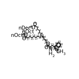 CCCCCCCCCCCOC(=O)CCCCCN(CCCCCCCC(=O)OC(CCCCCCCC)CCCCCCCC)CCCCOC(=O)C(N)Cc1cn(C)c2ccccc12